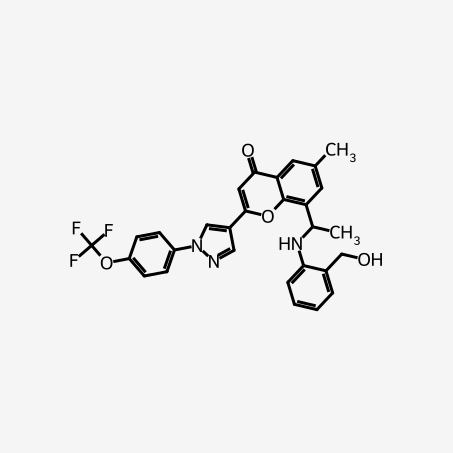 Cc1cc(C(C)Nc2ccccc2CO)c2oc(-c3cnn(-c4ccc(OC(F)(F)F)cc4)c3)cc(=O)c2c1